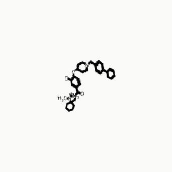 CN(C)C1(CNC(=O)c2ccc(OC3CCN(Cc4ccc(-c5ccccc5)cc4)CC3)c(Cl)c2)CCCCC1